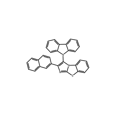 c1ccc2cc(-c3nc4sc5ccccc5n4c3-n3c4ccccc4c4ccccc43)ccc2c1